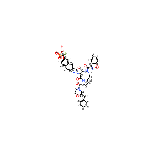 Cc1ccc2onc(C(=O)N3CC[C@H]4CC[C@@H](C(=O)N5CCOC(Cc6ccccc6)C5)N4C(=O)[C@@H](NC(=O)c4ccc5ccc(C(F)P(=O)(O)O)cc5c4)C3)c2c1